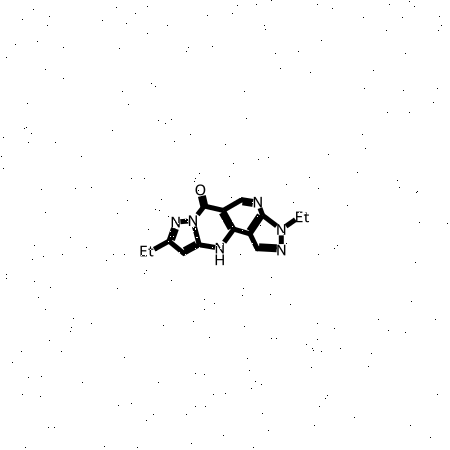 CCc1cc2[nH]c3c(cnc4c3cnn4CC)c(=O)n2n1